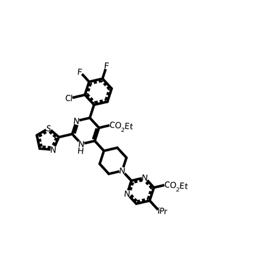 CCOC(=O)C1=C(C2CCN(c3ncc(C(C)C)c(C(=O)OCC)n3)CC2)NC(c2nccs2)=NC1c1ccc(F)c(F)c1Cl